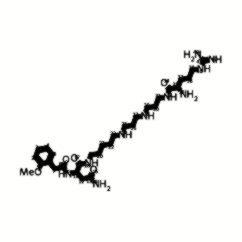 COc1ccccc1CC(=O)NC(CC(N)=O)C(=O)NCCCCCNCCCNCCCNC(=O)C(N)CCCNC(=N)N